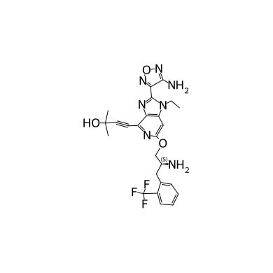 CCn1c(-c2nonc2N)nc2c(C#CC(C)(C)O)nc(OC[C@@H](N)Cc3ccccc3C(F)(F)F)cc21